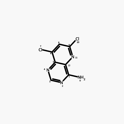 Nc1ncnc2c(Cl)cc(Cl)nc12